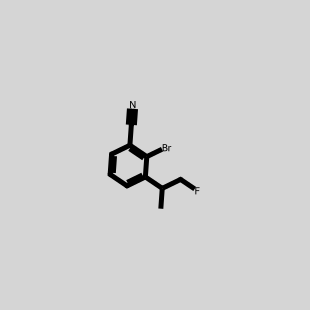 C[C](CF)c1cccc(C#N)c1Br